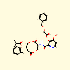 COc1ccnc(C(=O)N[C@H]2COC(=O)[C@H](Cc3ccccc3)[C@@H](OC(=O)C(C)C)[C@H](C)OC2=O)c1OC(=O)COCc1ccccc1